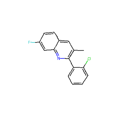 Cc1cc2ccc(F)cc2nc1-c1ccccc1Cl